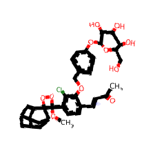 COC1(c2ccc(/C=C/C(C)=O)c(OCc3ccc(OC4OC(CO)C(O)C(O)C4O)cc3)c2Cl)OOC12C1CC3CC(C1)CC2C3